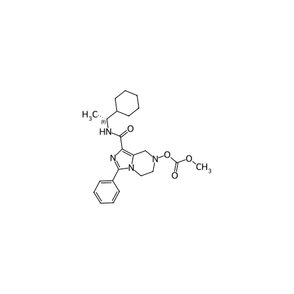 COC(=O)ON1CCn2c(-c3ccccc3)nc(C(=O)N[C@H](C)C3CCCCC3)c2C1